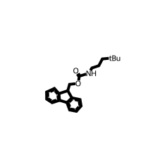 CC(C)(C)CCCNC(=O)OCC1c2ccccc2-c2ccccc21